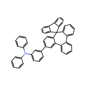 c1ccc(N(c2ccccc2)c2cccc(-c3ccc4c(c3)-c3ccccc3-c3ccccc3C43c4ccccc4-c4ccccc43)c2)cc1